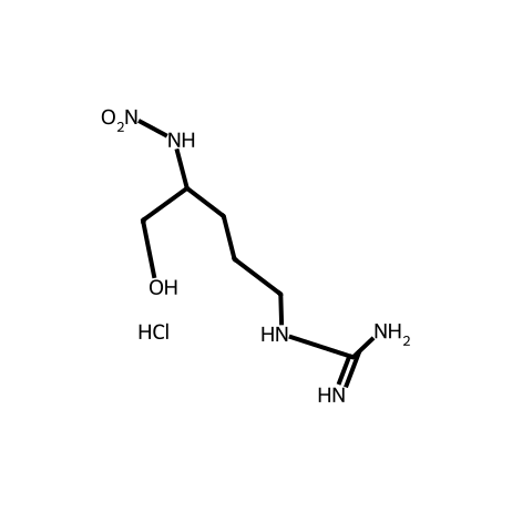 Cl.N=C(N)NCCCC(CO)N[N+](=O)[O-]